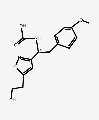 COc1ccc(C[C@H](NC(=O)O)c2cc(CCO)on2)cc1